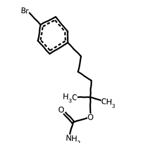 CC(C)(CCCc1ccc(Br)cc1)OC(N)=O